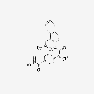 CCN(CC)Cc1c(OC(=O)N(C)c2ccc(C(=O)NO)cc2)ccc2ccccc12